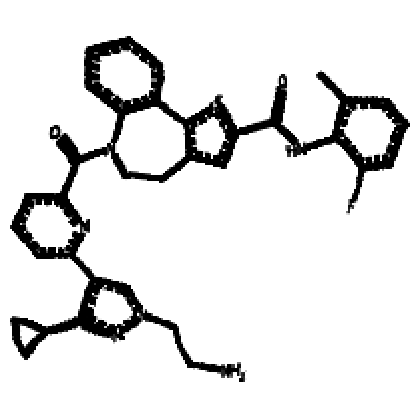 Cc1cccc(F)c1NC(=O)c1cc2c(s1)-c1ccccc1N(C(=O)c1cccc(-c3cn(CCN)nc3C3CC3)n1)CC2